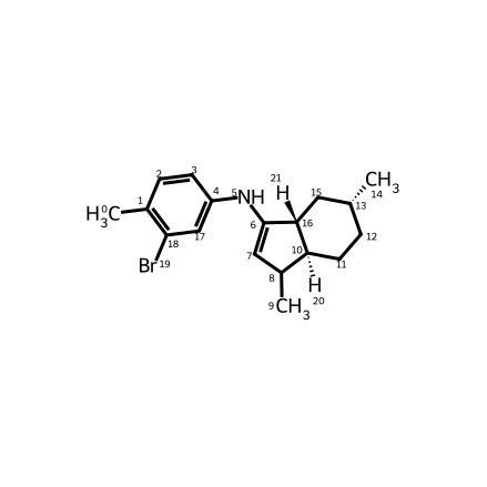 Cc1ccc(NC2=CC(C)[C@@H]3CC[C@@H](C)C[C@@H]23)cc1Br